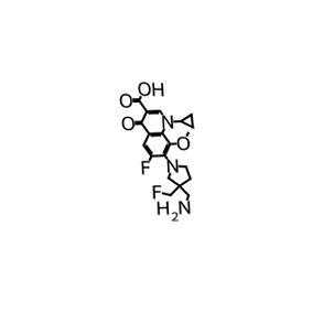 COc1c(N2CCC(CN)(CF)C2)c(F)cc2c(=O)c(C(=O)O)cn(C3CC3)c12